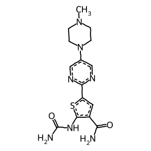 CN1CCN(c2cnc(-c3cc(C(N)=O)c(NC(N)=O)s3)nc2)CC1